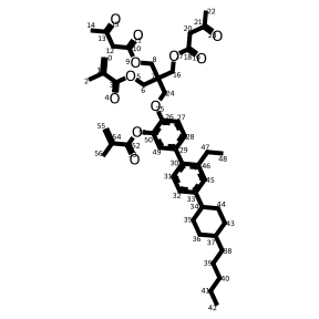 C=C(C)C(=O)OCC(COC(=O)CC(C)=O)(COC(=O)CC(C)=O)COc1ccc(-c2ccc(C3CCC(CCCCC)CC3)cc2CC)cc1OC(=O)C(=C)C